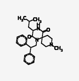 CC(C)CC1NC(=O)C2(CCN(C)CC2)N(CC(c2ccccc2)c2ccccc2)C1=O